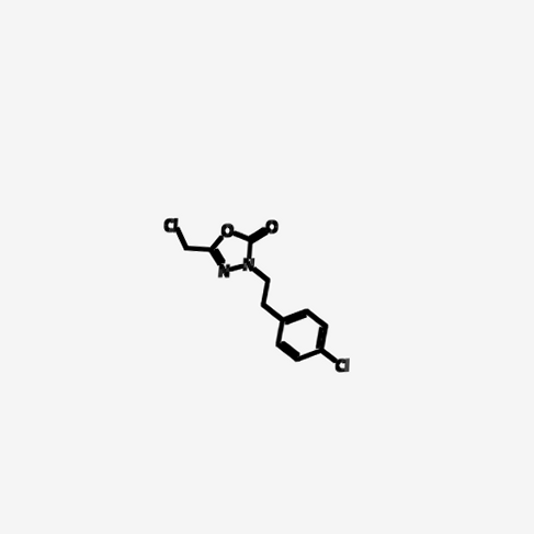 O=c1oc(CCl)nn1CCc1ccc(Cl)cc1